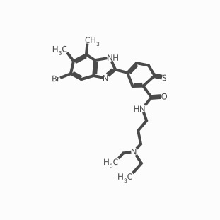 CCN(CC)CCCNC(=O)C1=CC(c2nc3cc(Br)c(C)c(C)c3[nH]2)=CCC1=S